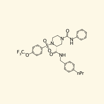 CCCc1ccc(CNC(=O)[C@H]2CN(C(=O)Nc3ccccc3)CCN2S(=O)(=O)c2ccc(OC(F)(F)F)cc2)cc1